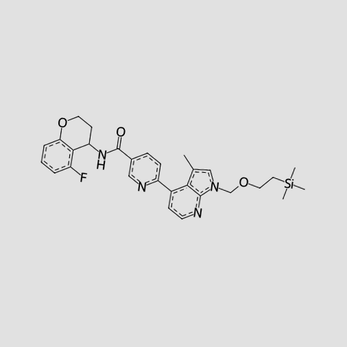 Cc1cn(COCC[Si](C)(C)C)c2nccc(-c3ccc(C(=O)NC4CCOc5cccc(F)c54)cn3)c12